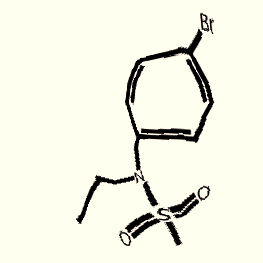 CCN(c1ccc(Br)cc1)S(C)(=O)=O